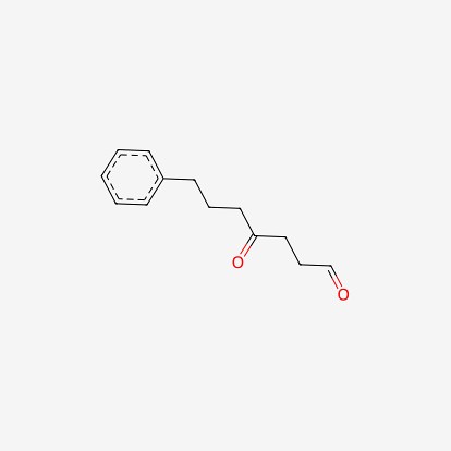 O=CCCC(=O)CCCc1ccccc1